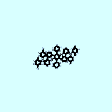 CC1=CC=C(N(c2cc(C)ccc2C)c2cccc3c2c2cccc4c5c(n3c42)C(c2ccccc2)C2C(=C5C3=CCCC=C3)n3c4cccc(N(c5ccc(C)cc5)c5cc(C)ccc5C)c4c4cccc2c43)CC1